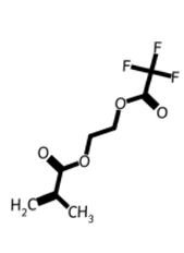 C=C(C)C(=O)OCCOC(=O)C(F)(F)F